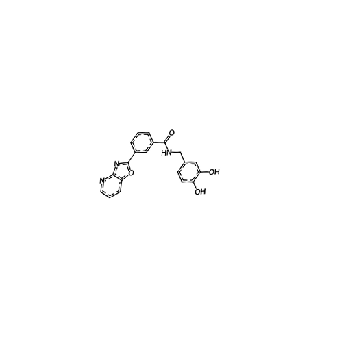 O=C(NCc1ccc(O)c(O)c1)c1cccc(-c2nc3ncccc3o2)c1